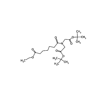 CCOC(=O)CCCCCC(=O)N(CC(=O)OC(C)(C)C)CC(=O)OC(C)(C)C